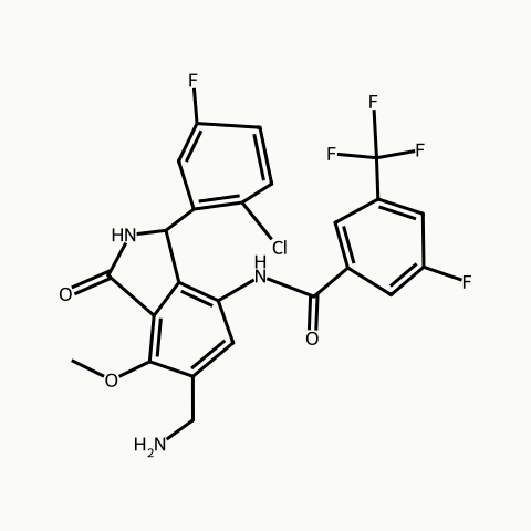 COc1c(CN)cc(NC(=O)c2cc(F)cc(C(F)(F)F)c2)c2c1C(=O)NC2c1cc(F)ccc1Cl